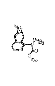 CC(C)(C)OC(=O)N(OC(C)(C)C)c1nccc2cc([N+](=O)[O-])ccc12